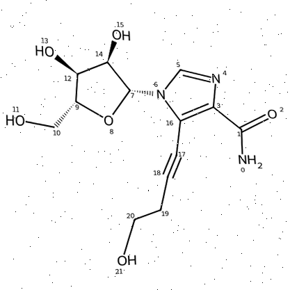 NC(=O)c1ncn([C@@H]2O[C@H](CO)[C@@H](O)[C@H]2O)c1C#CCCO